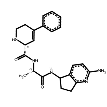 C[C@H](NC(=O)[C@H]1C=C(c2ccccc2)CCN1)C(=O)NC1CCc2nc(N)ccc21